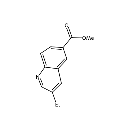 CCc1cnc2ccc(C(=O)OC)cc2c1